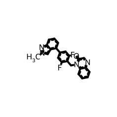 Cn1cc2c(-c3cc(F)c(Cn4c(=O)cnc5ccccc54)c(F)c3)cccc2n1